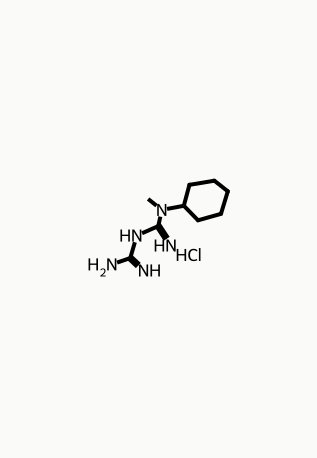 CN(C(=N)NC(=N)N)C1CCCCC1.Cl